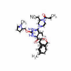 C=CC(=O)N1CCN(C2NC(OCC3CCCN3C)NC3C(=O)[C@]4(CCC32)Cc2cc(C)ccc2CO4)CC1CC#N